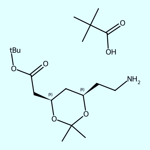 CC(C)(C)C(=O)O.CC(C)(C)OC(=O)C[C@H]1C[C@@H](CCN)OC(C)(C)O1